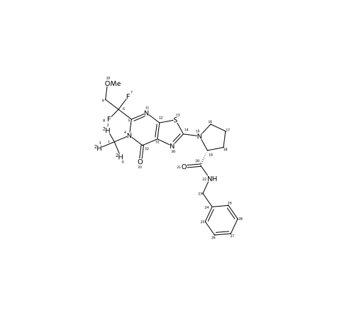 [2H]C([2H])([2H])n1c(C(F)(F)COC)nc2sc(N3CCC[C@@H]3C(=O)NCc3ccccc3)nc2c1=O